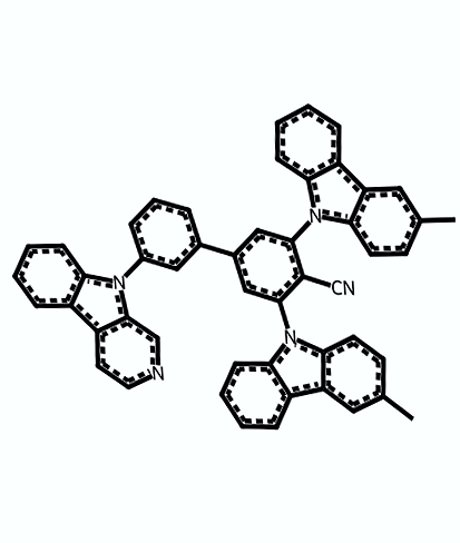 Cc1ccc2c(c1)c1ccccc1n2-c1cc(-c2cccc(-n3c4ccccc4c4ccncc43)c2)cc(-n2c3ccccc3c3cc(C)ccc32)c1C#N